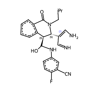 CC(C)CN1C(=O)c2ccccc2[C@H](C(O)Nc2ccc(F)c(C#N)c2)[C@H]1/C(C=N)=C/N